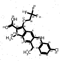 CCc1nc2c(cc1Nc1cccc(Cl)c1)c(OCC(F)(F)F)c(C(=O)O)n2C